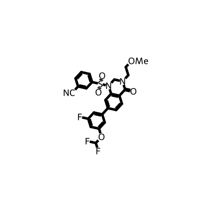 COCCN1CN(S(=O)(=O)c2cccc(C#N)c2)c2cc(-c3cc(F)cc(OC(F)F)c3)ccc2C1=O